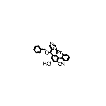 CC(C)c1ccccc1-c1cc(C(OCc2ccccc2)c2cncn2C)ccc1C#N.Cl